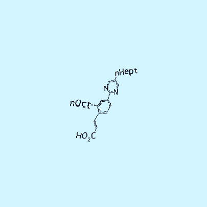 CCCCCCCCc1cc(-c2ncc(CCCCCCC)cn2)ccc1C=CC(=O)O